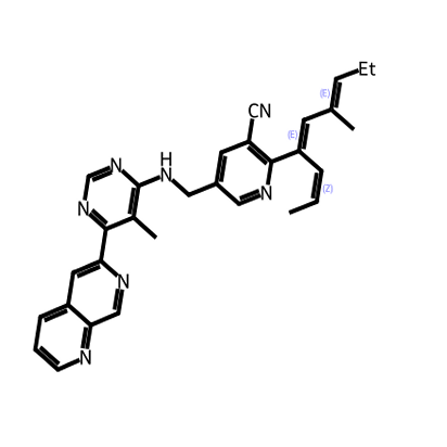 C\C=C/C(=C\C(C)=C\CC)c1ncc(CNc2ncnc(-c3cc4cccnc4cn3)c2C)cc1C#N